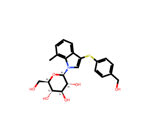 Cc1cccc2c(Sc3ccc(CO)cc3)cn([C@@H]3O[C@H](CO)[C@@H](O)[C@H](O)[C@H]3O)c12